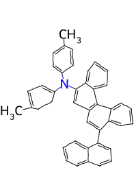 CC1=CC=C(N(c2ccc(C)cc2)c2cc3cc(-c4cccc5ccccc45)c4ccccc4c3c3ccccc23)CC1